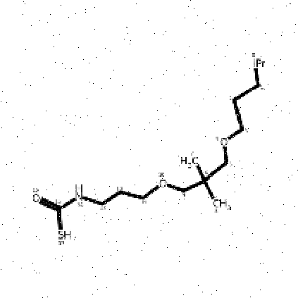 CC(C)CCCOCC(C)(C)COCCCNC(=O)S